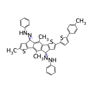 Cc1ccc(-c2ccc(-c3cc4/c(=N\Nc5ccccc5)c5c(C)c6c(c(C)c5c4s3)/c(=N/Nc3ccccc3)c3cc(C)sc36)s2)cc1